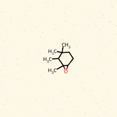 CC1C(C)(C)CCC2OC21C